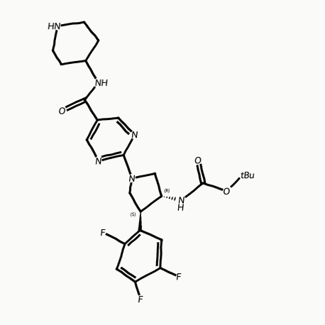 CC(C)(C)OC(=O)N[C@H]1CN(c2ncc(C(=O)NC3CCNCC3)cn2)C[C@@H]1c1cc(F)c(F)cc1F